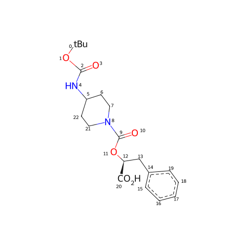 CC(C)(C)OC(=O)NC1CCN(C(=O)O[C@@H](Cc2ccccc2)C(=O)O)CC1